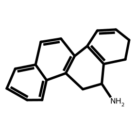 NC1Cc2c(ccc3ccccc23)C2=C1CCC=C2